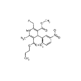 CCCOC(=O)C1=C(C)NC(CF)=C(C(=O)OC)C1c1cc([N+](=O)[O-])ccc1C